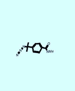 CNC(=O)c1ccc(C(C)(C)N=[N+]=[N-])cc1